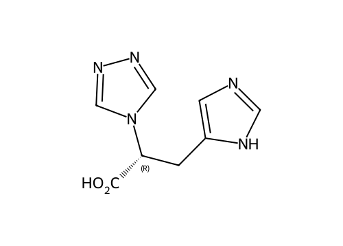 O=C(O)[C@@H](Cc1cnc[nH]1)n1cnnc1